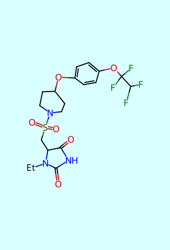 CCN1C(=O)NC(=O)C1CS(=O)(=O)N1CCC(Oc2ccc(OC(F)(F)C(F)F)cc2)CC1